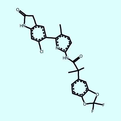 Cc1ccc(NC(=O)C(C)(C)c2ccc3c(c2)OC(F)(F)O3)nc1-c1cc2c(cc1Cl)NC(=O)C2